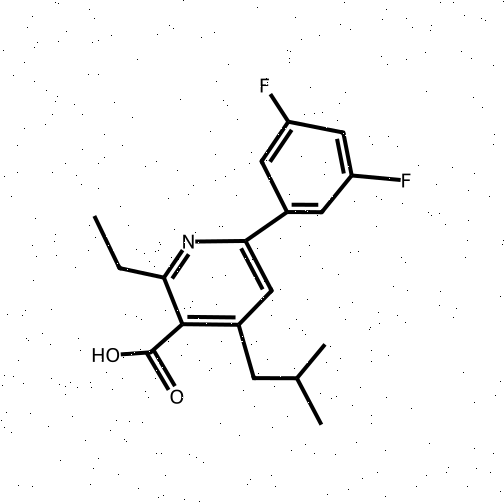 CCc1nc(-c2cc(F)cc(F)c2)cc(CC(C)C)c1C(=O)O